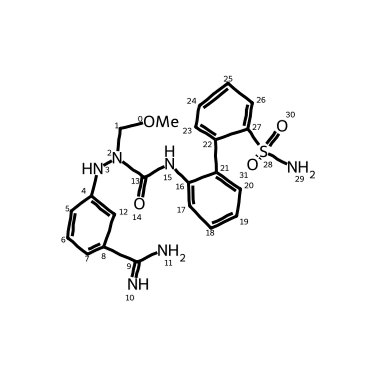 COCN(Nc1cccc(C(=N)N)c1)C(=O)Nc1ccccc1-c1ccccc1S(N)(=O)=O